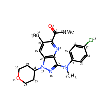 CNC(=O)c1nc2c(N(C)c3ccc(Cl)cc3)nn(C3CCOCC3)c2cc1C(C)(C)C